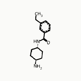 CCc1cccc(C(=O)N[C@H]2CC[C@H](N)CC2)c1